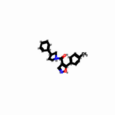 Cc1ccc(-c2oncc2C(=O)N2CCC(c3ccccc3)C2)cc1